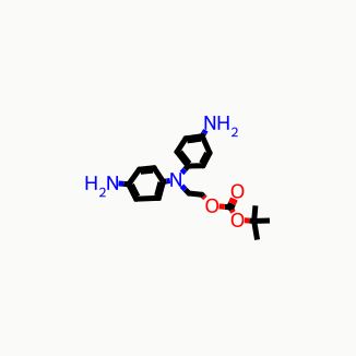 CC(C)(C)OC(=O)OCCN(c1ccc(N)cc1)c1ccc(N)cc1